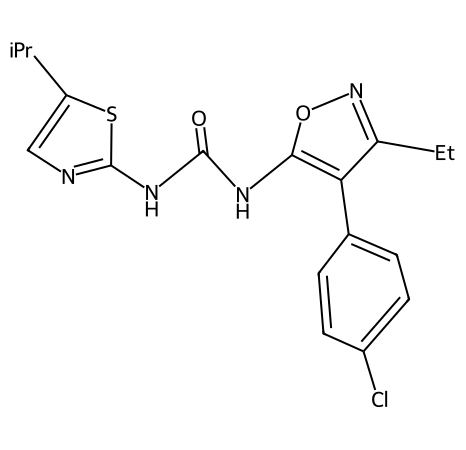 CCc1noc(NC(=O)Nc2ncc(C(C)C)s2)c1-c1ccc(Cl)cc1